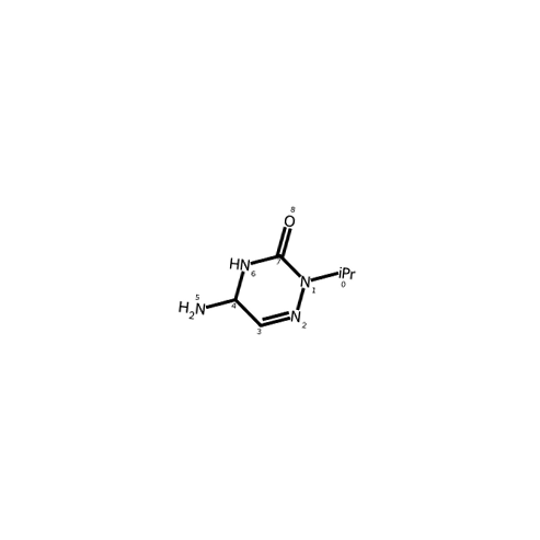 CC(C)N1N=CC(N)NC1=O